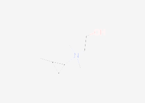 CC1CC1[N+](C)(C)CCO